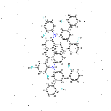 Fc1ccc(N(c2cc(-c3ccccc3F)cc(-c3ccccc3F)c2)c2ccc3ccc4c(N(c5cc(-c6ccccc6F)cc(-c6ccccc6F)c5)c5ccc(F)cc5F)ccc5ccc2c3c54)c(F)c1